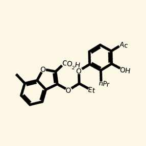 CCCc1c(OC(CC)Oc2c(C(=O)O)oc3c(C)cccc23)ccc(C(C)=O)c1O